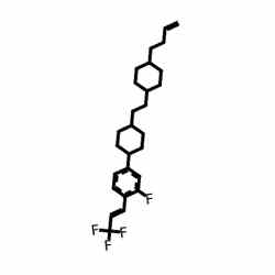 C=CCCC1CCC(CCC2CCC(c3ccc(/C=C/C(F)(F)F)c(F)c3)CC2)CC1